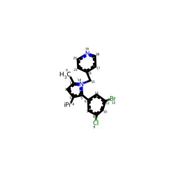 Cc1cc(C(C)C)c(-c2cc(Cl)cc(Br)c2)n1Cc1ccncc1